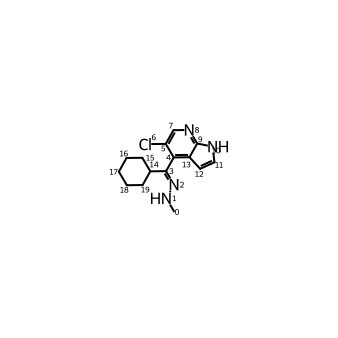 CNN=C(c1c(Cl)cnc2[nH]ccc12)C1CCCCC1